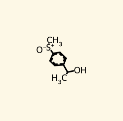 CC(O)c1ccc([S+](C)[O-])cc1